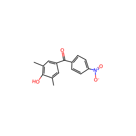 Cc1cc(C(=O)c2ccc([N+](=O)[O-])cc2)cc(C)c1O